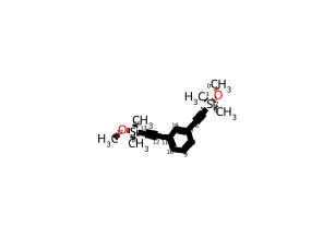 CO[Si](C)(C)C#Cc1cccc(C#C[Si](C)(C)OC)c1